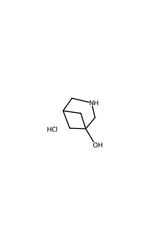 Cl.OC12CNCC(C1)C2